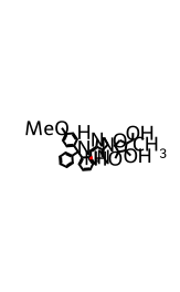 COc1ccc(C(Nc2ncnc3c2ncn3C2OC(C(C)O)C(O)C2O)(c2ccccc2)c2ccccc2)cc1